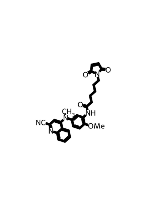 COc1ccc(N(C)c2cc(C#N)nc3ccccc23)cc1NC(=O)CCCCCN1C(=O)C=CC1=O